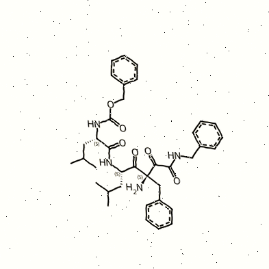 CC(C)C[C@H](NC(=O)OCc1ccccc1)C(=O)N[C@@H](CC(C)C)C(=O)[C@@](N)(Cc1ccccc1)C(=O)C(=O)NCc1ccccc1